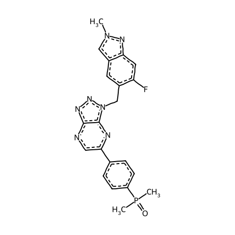 Cn1cc2cc(Cn3nnc4ncc(-c5ccc(P(C)(C)=O)cc5)nc43)c(F)cc2n1